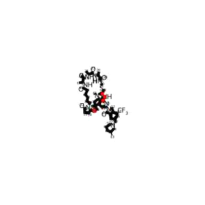 CC(NC(=O)CCCCCN1C(=O)C=CC1=O)C(=O)NC(C)C(=O)NC(C)C(=O)NCSCCNc1cc(C2(Cc3nncn3C)COC2)cc(N2Cc3c(cc(CN4CCC[C@H](C)C4)cc3C(F)(F)F)C2=O)n1